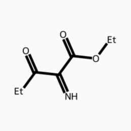 CCOC(=O)C(=N)C(=O)CC